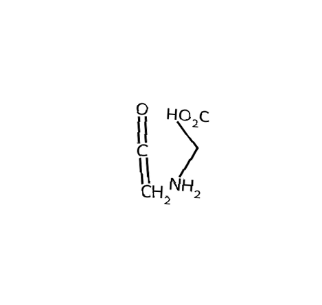 C=C=O.NCC(=O)O